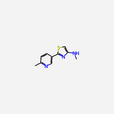 CNc1csc(-c2ccc(C)nc2)n1